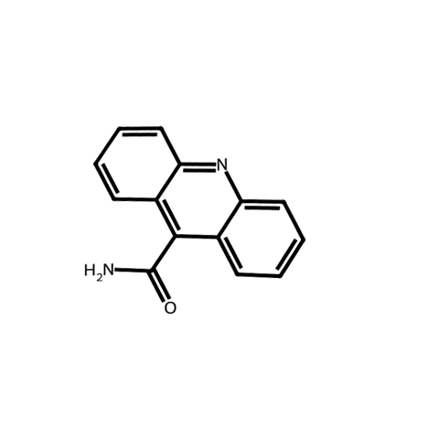 NC(=O)c1c2ccccc2nc2ccccc12